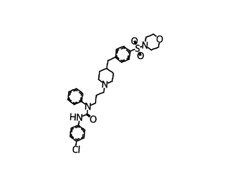 O=C(Nc1ccc(Cl)cc1)N(CCCN1CCC(Cc2ccc(S(=O)(=O)N3CCOCC3)cc2)CC1)c1ccccc1